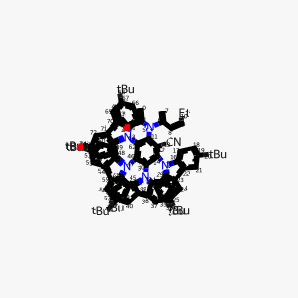 C=C(/C=C\C)N(C(=C)/C=C\CC)c1c(C#N)c(-n2c3ccc(C(C)(C)C)cc3c3cc(C(C)(C)C)ccc32)c(-n2c3ccc(C(C)(C)C)cc3c3cc(C(C)(C)C)ccc32)c(-n2c3ccc(C(C)(C)C)cc3c3cc(C(C)(C)C)ccc32)c1-n1c2ccc(C(C)(C)C)cc2c2cc(C(C)(C)C)ccc21